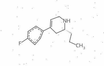 CCC[C@@H]1CC(c2ccc(F)cc2)=CCN1